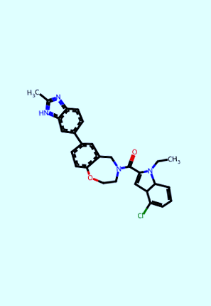 CCN1C(C(=O)N2CCOc3ccc(-c4ccc5nc(C)[nH]c5c4)cc3C2)=CC2C(Cl)=CC=CC21